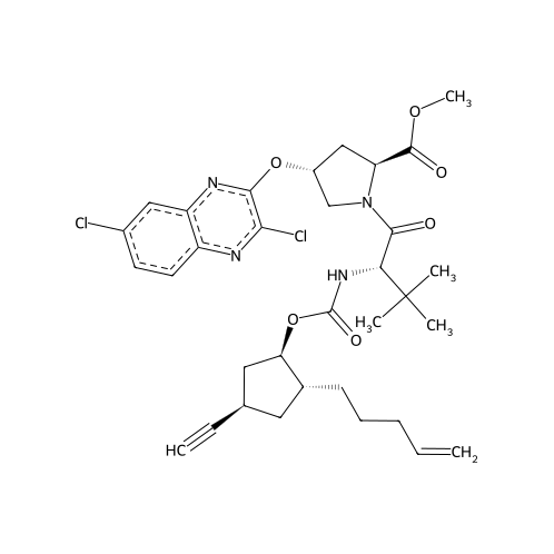 C#C[C@@H]1C[C@@H](CCCC=C)[C@H](OC(=O)N[C@H](C(=O)N2C[C@H](Oc3nc4cc(Cl)ccc4nc3Cl)C[C@H]2C(=O)OC)C(C)(C)C)C1